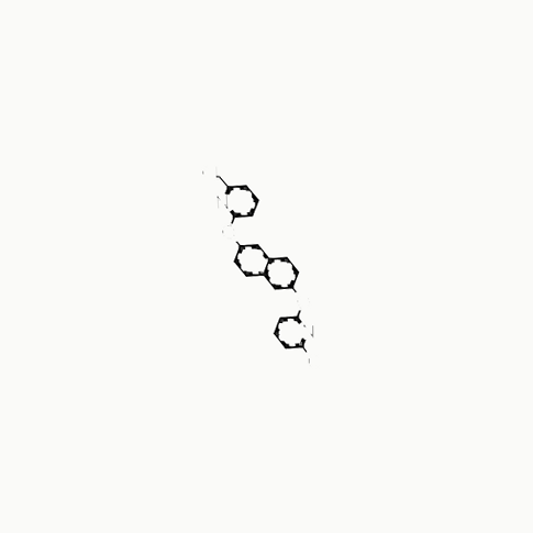 Clc1cccc(Oc2ccc3cc(Oc4cccc(Cl)n4)ccc3c2)n1